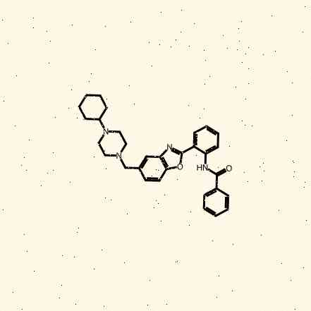 O=C(Nc1ccccc1-c1nc2cc(CN3CCN(C4CCCCC4)CC3)ccc2o1)c1ccccc1